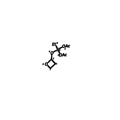 CC[Si](OC(C)=O)(OC(C)=O)OC1CCO1